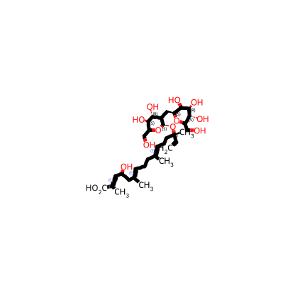 C=C[C@](C)(CC/C=C(\C)CC/C=C(\C)CC(O)/C=C(\C)C(=O)O)O[C@@H]1OC(CO)[C@@H](O)[C@H](O)C1C[C@@H]1OC(CO)[C@@H](O)[C@H](O)C1O